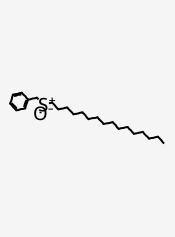 CCCCCCCCCCCCCCCC[S+]([O-])Cc1ccccc1